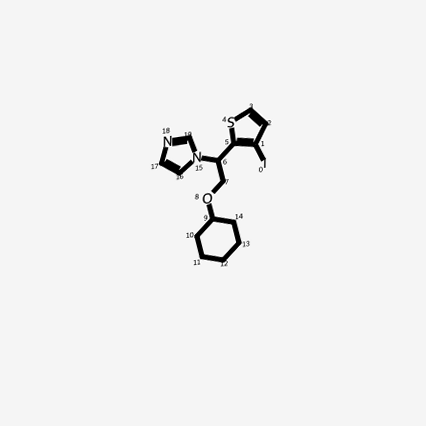 Ic1ccsc1C(COC1CCCCC1)n1ccnc1